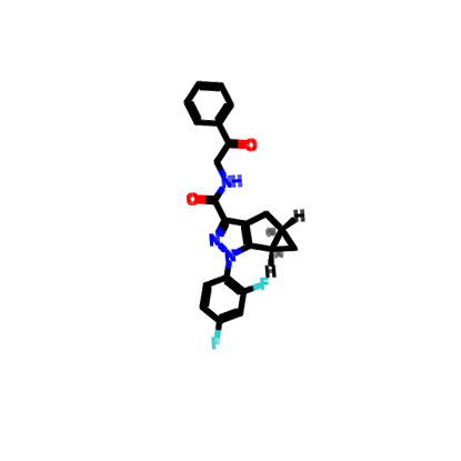 O=C(CNC(=O)c1nn(-c2ccc(F)cc2F)c2c1C[C@@H]1C[C@H]21)c1ccccc1